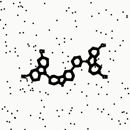 N#Cc1ccc2c(c1)c1cc(C#N)ccc1n2-c1cccc(-c2ccc3sc4ccc(-n5c6ccc(C#N)cc6c6cc(C#N)ccc65)cc4c3c2)c1